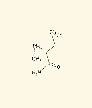 CP.NC(=O)CCC(=O)O